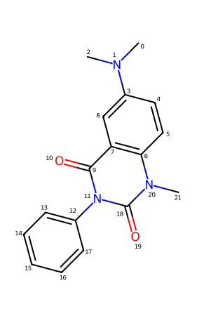 CN(C)c1ccc2c(c1)c(=O)n(-c1ccccc1)c(=O)n2C